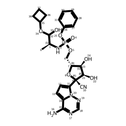 C[C@H](NP(=O)(OC[C@H]1O[C@@](C#N)(c2ccc3c(N)ncnn23)[C@H](O)[C@@H]1O)Oc1ccccc1)C(O)OC1CCC1